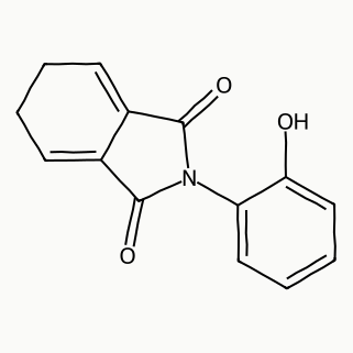 O=C1C2=CCCC=C2C(=O)N1c1ccccc1O